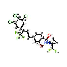 O=C(NC1(C(F)F)CC1)c1ccc(/C=C/C(c2cc(Cl)c(Cl)c(Cl)c2)C(F)(F)F)cc1Br